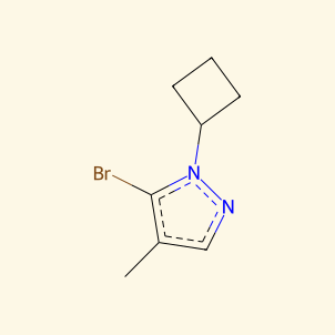 Cc1cnn(C2CCC2)c1Br